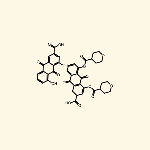 O=C(O)c1cc(O)c2c(c1)C(=O)c1cccc(O)c1C2=O.O=C1C2=C(C(=O)c3c(OC(=O)C4CCOCC4)cccc31)C(OC(=O)C1CCOCC1)=CC(C(=O)O)C2